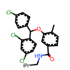 Cc1ccc(C(=O)NCC(C)C)cc1OC(c1ccc(Cl)cc1)c1ccc(Cl)cc1Cl